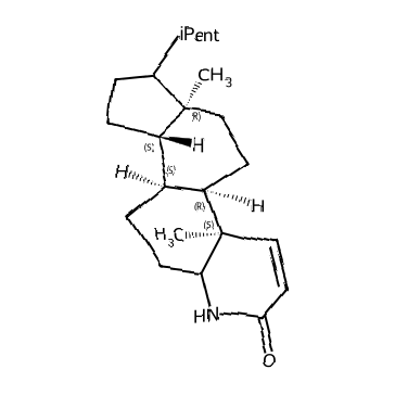 CCCC(C)C1CC[C@H]2[C@@H]3CCC4NC(=O)C=C[C@]4(C)[C@@H]3CC[C@]12C